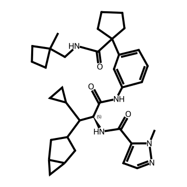 Cn1nccc1C(=O)N[C@H](C(=O)Nc1cccc(C2(C(=O)NCC3(C)CCC3)CCCC2)c1)C(C1CC1)C1CC2CC2C1